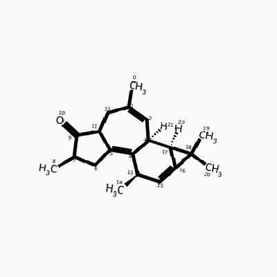 CC1=C[C@@H]2C(=C3CC(C)C(=O)C3C1)[C@H](C)C=C1[C@@H]2C1(C)C